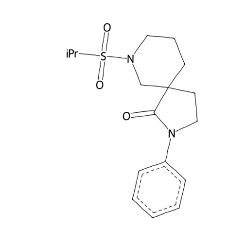 CC(C)S(=O)(=O)N1CCCC2(CCN(c3ccccc3)C2=O)C1